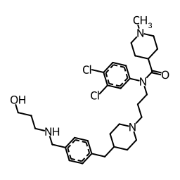 CN1CCC(C(=O)N(CCCN2CCC(Cc3ccc(CNCCCO)cc3)CC2)c2ccc(Cl)c(Cl)c2)CC1